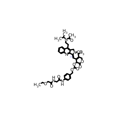 CCOCC(=O)NCC(=O)Nc1ccc(COC(=O)OC2C(=O)OCC(C=O)=C2/C=C2/c3nc4ccccc4c(CCN(C(C)=O)C(C)C)c3CN2C)cc1